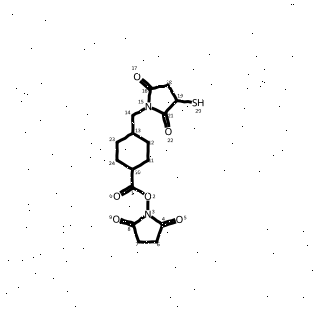 O=C(ON1C(=O)CCC1=O)C1CCC(CN2C(=O)CC(S)C2=O)CC1